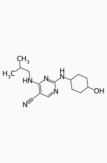 CC(C)CNc1nc(NC2CCC(O)CC2)ncc1C#N